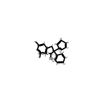 Cc1cc(C)cc(CC(c2ccccc2)(c2ccccc2)C(N)C(=O)O)c1